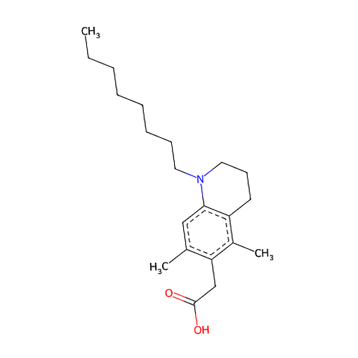 CCCCCCCCN1CCCc2c1cc(C)c(CC(=O)O)c2C